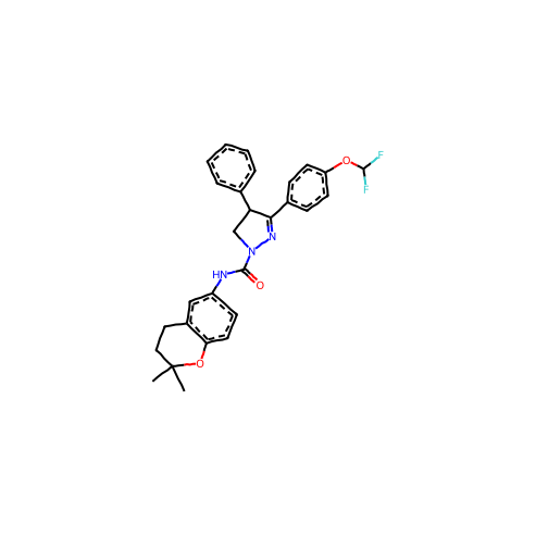 CC1(C)CCc2cc(NC(=O)N3CC(c4ccccc4)C(c4ccc(OC(F)F)cc4)=N3)ccc2O1